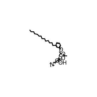 CCCCCCCCCCCCCCc1cccc(OCC(COP(O)OCC[N+](C)(C)C)OC(C)=O)c1